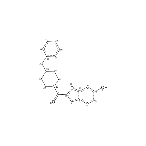 O=C(c1cc2ccc(O)cc2o1)N1CCC(Cc2ccccc2)CC1